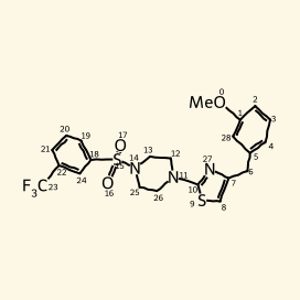 COc1cccc(Cc2csc(N3CCN(S(=O)(=O)c4cccc(C(F)(F)F)c4)CC3)n2)c1